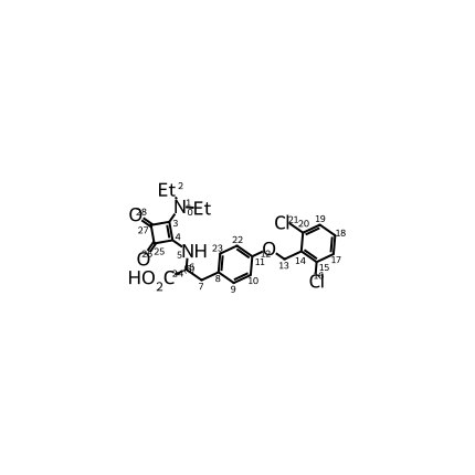 CCN(CC)c1c(N[C@@H](Cc2ccc(OCc3c(Cl)cccc3Cl)cc2)C(=O)O)c(=O)c1=O